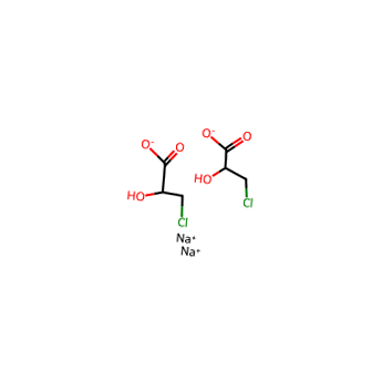 O=C([O-])C(O)CCl.O=C([O-])C(O)CCl.[Na+].[Na+]